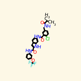 CC(C)C(=O)NCc1ccc(Cl)c(C(=O)Nc2ccc3cc(C(=O)Nc4cccc(OC(F)(F)F)c4)[nH]c3c2)c1